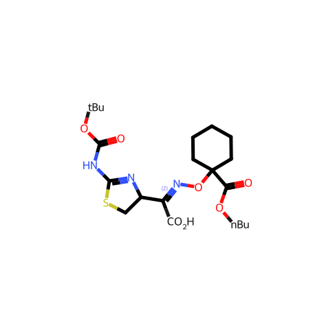 CCCCOC(=O)C1(O/N=C(\C(=O)O)C2CSC(NC(=O)OC(C)(C)C)=N2)CCCCC1